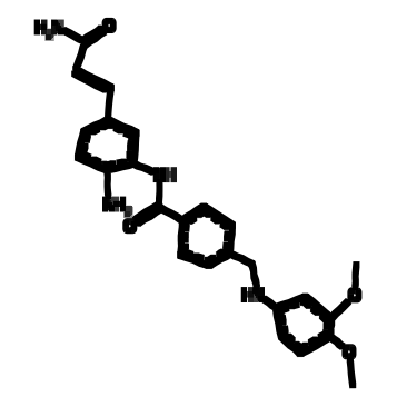 COc1ccc(NCc2ccc(C(=O)Nc3cc(/C=C/C(N)=O)ccc3N)cc2)cc1OC